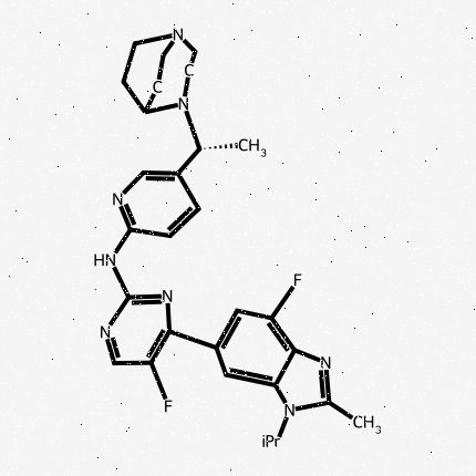 Cc1nc2c(F)cc(-c3nc(Nc4ccc([C@@H](C)N5CCN6CCC5CC6)cn4)ncc3F)cc2n1C(C)C